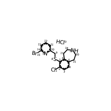 Cl.Clc1ccc2c(c1SCc1cccc(Br)n1)CCNCC2